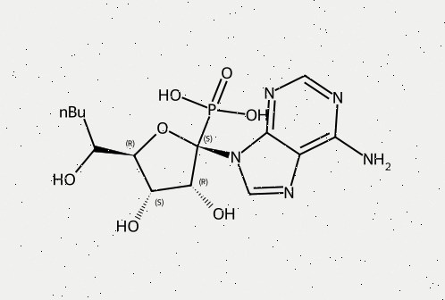 CCCCC(O)[C@H]1O[C@](n2cnc3c(N)ncnc32)(P(=O)(O)O)[C@H](O)[C@@H]1O